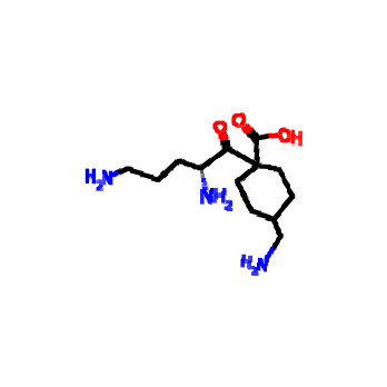 NCCC[C@@H](N)C(=O)C1(C(=O)O)CCC(CN)CC1